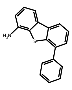 Nc1cccc2c1sc1c(-c3ccccc3)cccc12